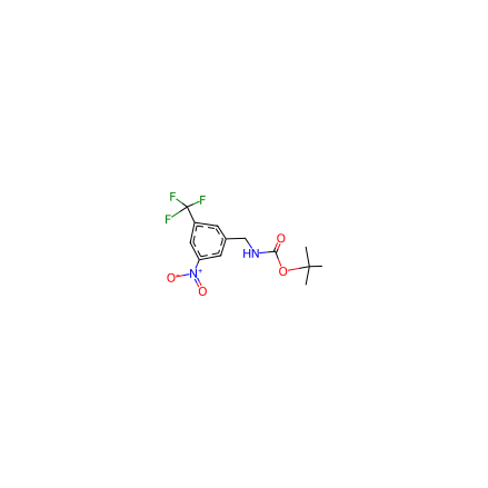 CC(C)(C)OC(=O)NCc1cc([N+](=O)[O-])cc(C(F)(F)F)c1